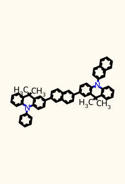 CC1(C)c2ccccc2N(c2ccccc2)c2ccc(-c3ccc4cc(-c5ccc6c(c5)C(C)(C)c5ccccc5N6c5ccc6ccccc6c5)ccc4c3)cc21